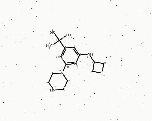 CC(C)(S)c1cc(NC2COC2)nc(N2CCNCC2)n1